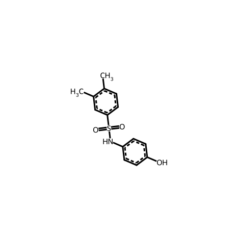 Cc1ccc(S(=O)(=O)Nc2ccc(O)cc2)cc1C